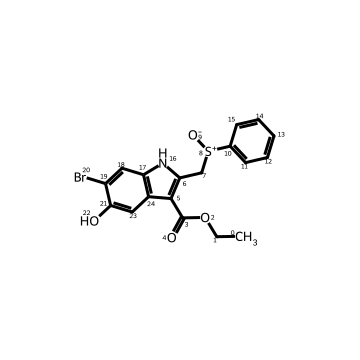 CCOC(=O)c1c(C[S+]([O-])c2ccccc2)[nH]c2cc(Br)c(O)cc12